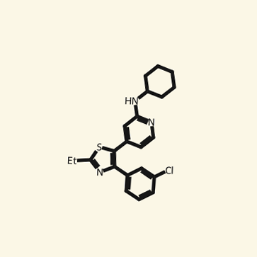 CCc1nc(-c2cccc(Cl)c2)c(-c2ccnc(NC3CCCCC3)c2)s1